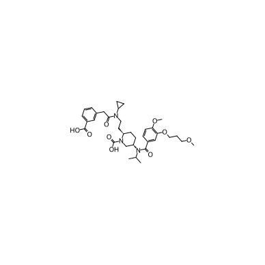 COCCCOc1cc(C(=O)N(C(C)C)[C@@H]2CC[C@H](CCN(C(=O)Cc3cccc(C(=O)O)c3)C3CC3)N(C(=O)O)C2)ccc1OC